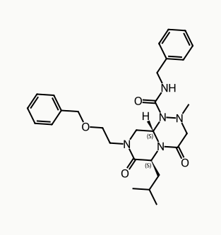 CC(C)C[C@H]1C(=O)N(CCOCc2ccccc2)C[C@H]2N1C(=O)CN(C)N2C(=O)NCc1ccccc1